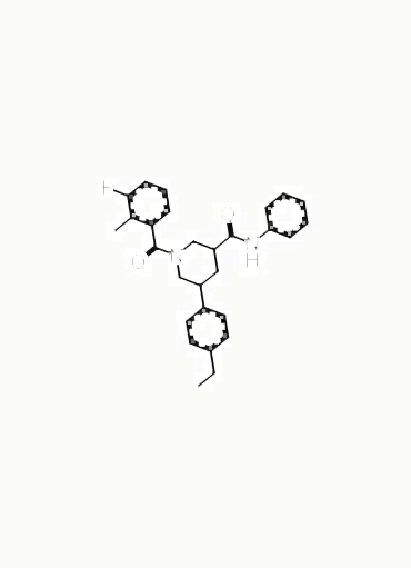 CCc1ccc(C2CC(C(=O)Nc3ccccc3)CN(C(=O)c3cccc(F)c3C)C2)cc1